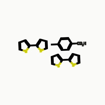 Cc1ccc(C(=O)O)cc1.c1csc(-c2cccs2)c1.c1csc(-c2cccs2)c1